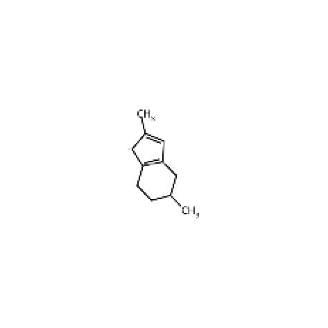 CC1=CC2=C([CH]1)CCC(C)C2